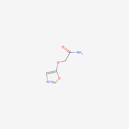 NC(=O)COc1cnco1